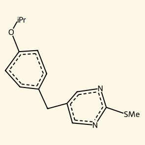 CSc1ncc(Cc2ccc(OC(C)C)cc2)cn1